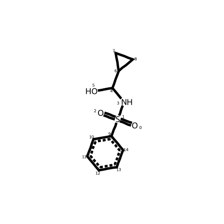 O=S(=O)(NC(O)C1CC1)c1ccccc1